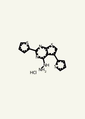 Cl.NNc1nc(-c2cccs2)nc2scc(-c3cccs3)c12